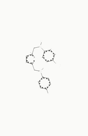 O=Cc1ccc(N(Cc2ccc(CN(C(=O)O)c3ccc(C=O)cc3)o2)C(=O)O)cc1